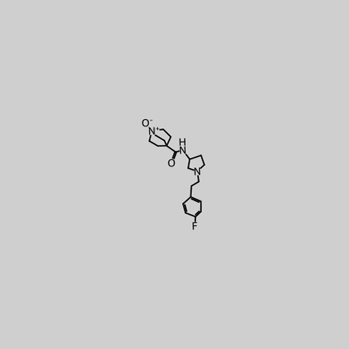 O=C(NC1CCN(CCc2ccc(F)cc2)C1)C12CC[N+]([O-])(CC1)CC2